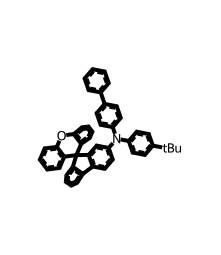 CC(C)(C)c1ccc(N(c2ccc(-c3ccccc3)cc2)c2ccc3c(c2)C2(c4ccccc4Oc4ccccc42)c2ccccc2-3)cc1